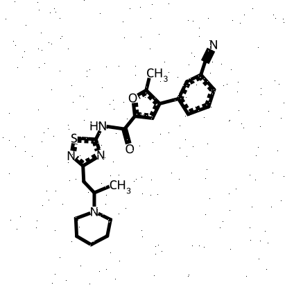 Cc1oc(C(=O)Nc2nc(CC(C)N3CCCCC3)ns2)cc1-c1cccc(C#N)c1